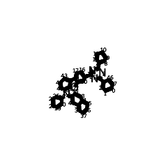 c1ccc(-c2nc(-c3ccccc3)nc(-c3ccc4c(c3)oc3c(N(c5ccccc5)c5ccc6ccccc6c5)cccc34)n2)cc1